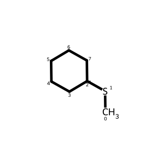 CS[C]1CCCCC1